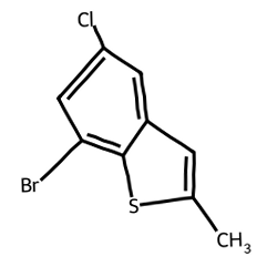 Cc1cc2cc(Cl)cc(Br)c2s1